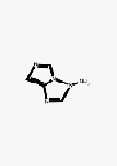 Nn1cnc2cncn21